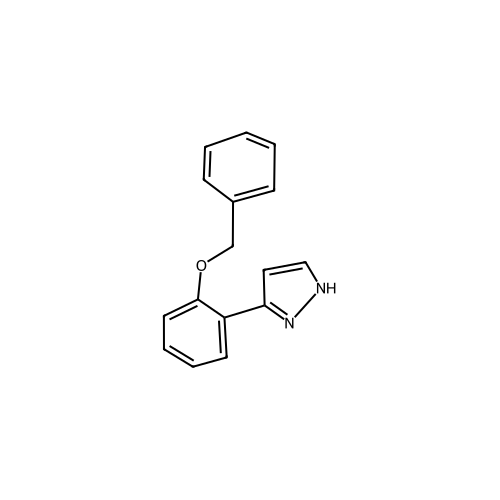 c1ccc(COc2ccccc2-c2cc[nH]n2)cc1